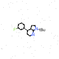 CC(C)(C)n1ccc2c(-c3cccc(F)c3)ccnc21